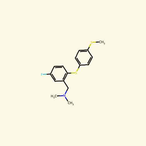 CSc1ccc(Sc2ccc(F)cc2CN(C)C)cc1